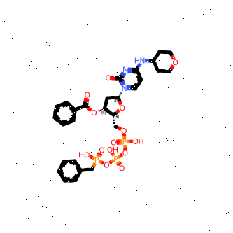 O=C(O[C@@H]1C[C@H](n2ccc(NC3CCOCC3)nc2=O)O[C@@H]1COP(=O)(O)OP(=O)(O)OP(=O)(O)Cc1ccccc1)c1ccccc1